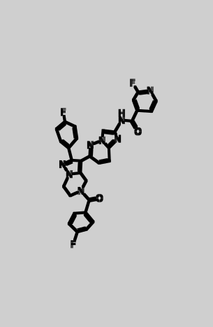 O=C(Nc1cn2nc(-c3c(-c4ccc(F)cc4)nn4c3CN(C(=O)c3ccc(F)cc3)CC4)ccc2n1)c1ccnc(F)c1